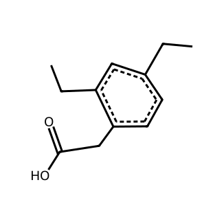 CCc1ccc(CC(=O)O)c(CC)c1